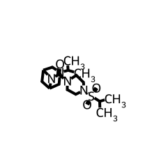 CC(C)N1CC2CC(C1)N2C(=O)N1CCN(S(=O)(=O)C(C)C)CC1